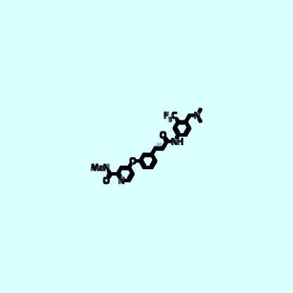 CNC(=O)c1cc(Oc2cccc(/C=C/C(=O)Nc3ccc(CN(C)C)c(C(F)(F)F)c3)c2)ccn1